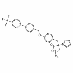 CCC(Cc1ccc(OCc2ccc(-c3ccc(C(F)(F)F)cc3)cc2)cc1)(C(=O)O)n1cccc1